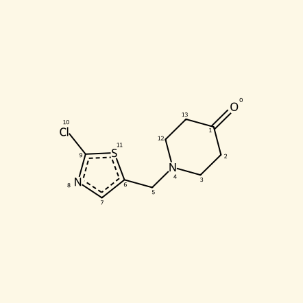 O=C1CCN(Cc2cnc(Cl)s2)CC1